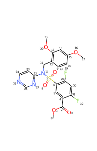 COC(=O)c1cc(S(=O)(=O)N(Cc2ccc(OC)cc2OC)c2ccncn2)c(F)cc1F